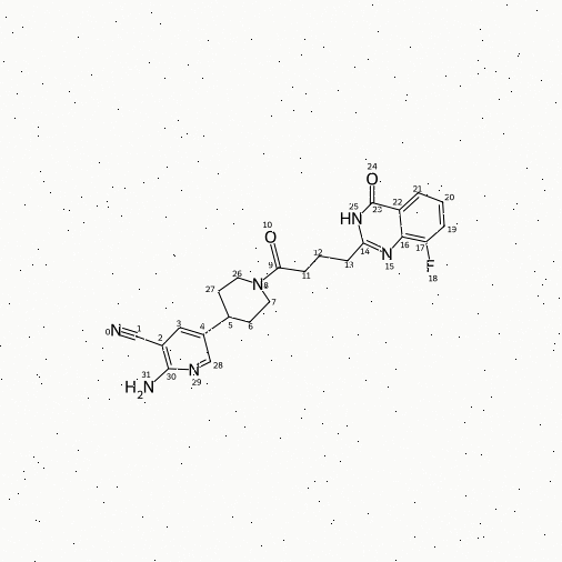 N#Cc1cc(C2CCN(C(=O)CCCc3nc4c(F)cccc4c(=O)[nH]3)CC2)cnc1N